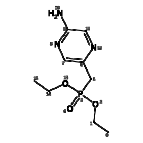 CCOP(=O)(Cc1cnc(N)cn1)OCC